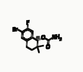 CC1(C)CCc2cc(Br)c(F)cc2[C@@H]1OC(N)=O